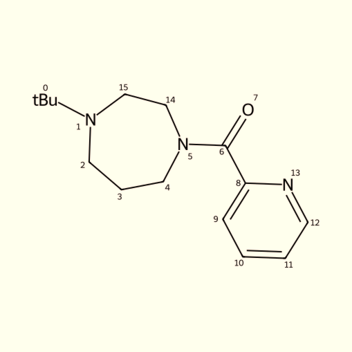 CC(C)(C)N1CCCN(C(=O)c2ccccn2)CC1